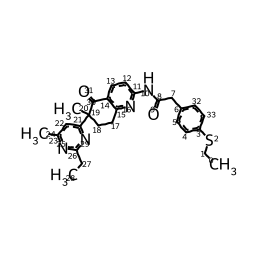 CCSc1ccc(CC(=O)Nc2ccc3c(n2)CCC(C)(c2cc(C)nc(CC)n2)C3=O)cc1